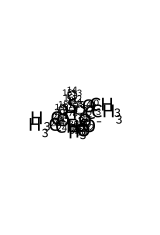 CC(C)(C)Oc1cccc([S+](c2ccccc2)c2cccc(OC(C)(C)C)c2)c1.O=S(=O)([O-])CC(F)(F)F